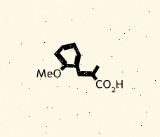 COc1ccccc1/C=C(\C)C(=O)O